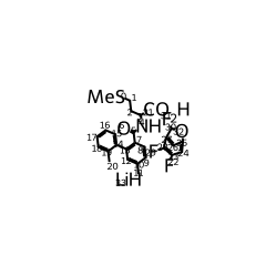 CSCCC(NC(=O)c1ccc(C)cc1-c1ccccc1C)C(=O)O.Fc1cc2cc(c1F)C(F)O2.[LiH]